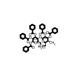 CC[C@H]1O[C@@H](O[C@H]2[C@H](OC(=O)c3ccccc3)[C@@H](OC(=O)c3ccccc3)[C@@H](OC(=O)c3ccccc3)O[C@@H]2CC)[C@H](OC(=O)c2ccccc2)[C@@H](OC(=O)c2ccccc2)[C@H]1C